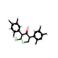 Cc1cc(C)c(C(CCl)C(=O)C(CCl)c2cc(C)c(C)cc2C)cc1C